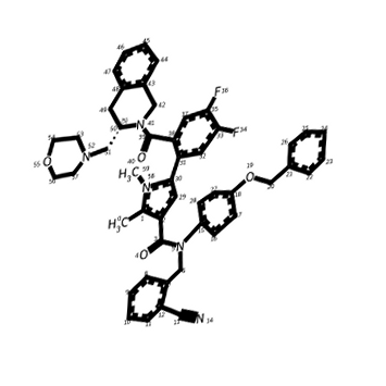 Cc1c(C(=O)N(Cc2ccccc2C#N)c2ccc(OCc3ccccc3)cc2)cc(-c2cc(F)c(F)cc2C(=O)N2Cc3ccccc3C[C@H]2CN2CCOCC2)n1C